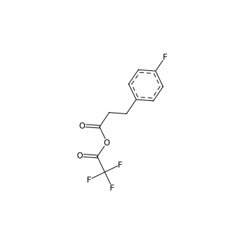 O=C(CCc1ccc(F)cc1)OC(=O)C(F)(F)F